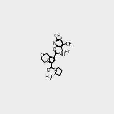 CC[C@H](NC(=O)c1cc(C(=O)N2CCC[C@@H]2C)n2c1COCC2)c1cnc(C(F)(F)F)cc1C(F)(F)F